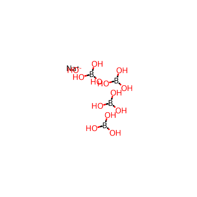 OB(O)O.OB(O)O.OB(O)O.OB(O)O.[Na+].[OH-]